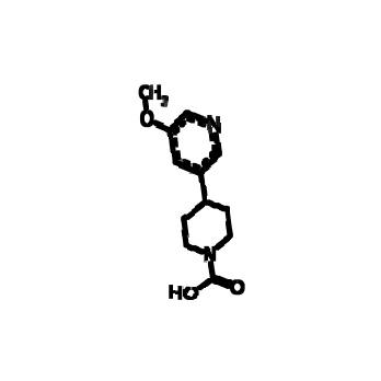 COc1cncc(C2CCN(C(=O)O)CC2)c1